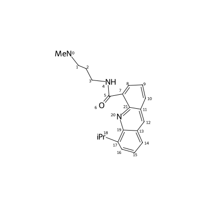 CNCCCNC(=O)c1cccc2cc3cccc(C(C)C)c3nc12